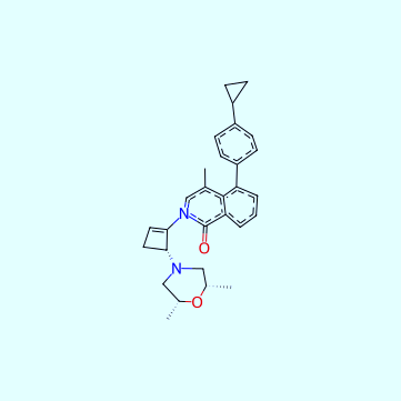 Cc1cn(C2=CC[C@H]2N2C[C@@H](C)O[C@@H](C)C2)c(=O)c2cccc(-c3ccc(C4CC4)cc3)c12